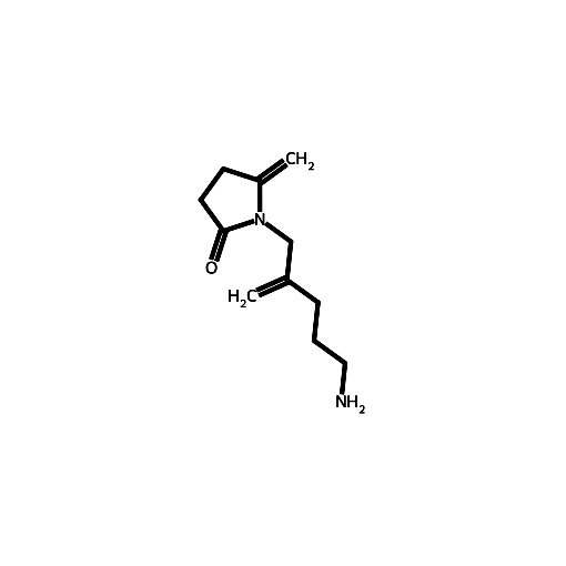 C=C(CCCN)CN1C(=C)CCC1=O